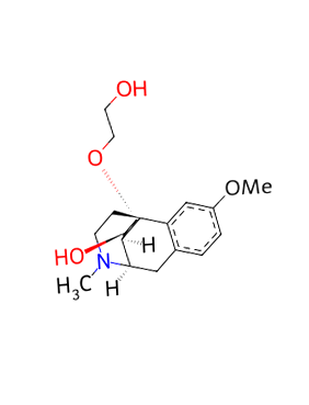 COc1ccc2c(c1)[C@]13CCN(C)[C@H](C2)[C@H]1[C@H](O)C[C@H](OCCO)C3